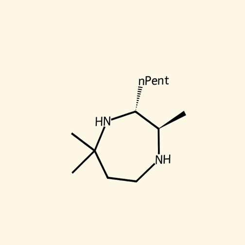 CCCCC[C@H]1NC(C)(C)CCN[C@@H]1C